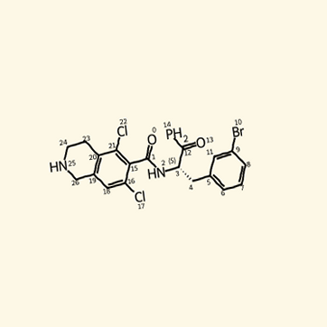 O=C(N[C@@H](Cc1cccc(Br)c1)C(=O)P)c1c(Cl)cc2c(c1Cl)CCNC2